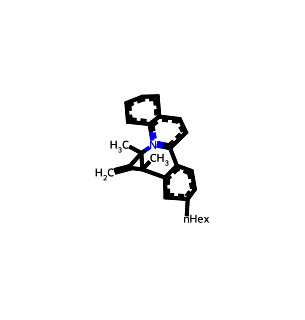 C=C1C2(C)c3cc(CCCCCC)ccc3-c3ccc4ccccc4[n+]3C12C